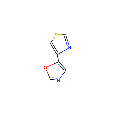 c1ncc(-c2cscn2)o1